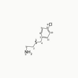 NCCSCc1ccc(Cl)cc1